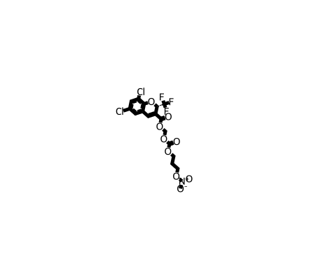 O=C(OCCCO[N+](=O)[O-])OCOC(=O)C1=Cc2cc(Cl)cc(Cl)c2O[C@@H]1C(F)(F)F